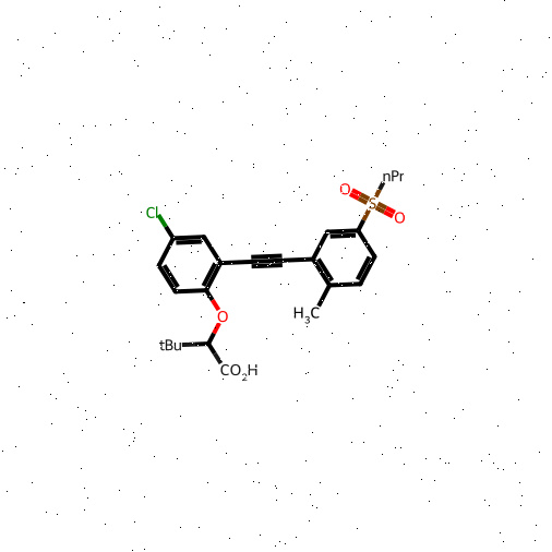 CCCS(=O)(=O)c1ccc(C)c(C#Cc2cc(Cl)ccc2OC(C(=O)O)C(C)(C)C)c1